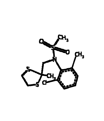 Cc1cccc(Cl)c1N(CC1(C)SCCS1)S(C)(=O)=O